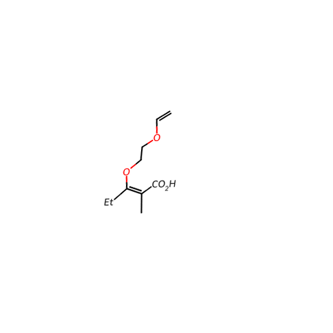 C=COCCOC(CC)=C(C)C(=O)O